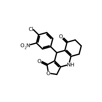 O=C1CCCC2=C1C(c1ccc(Cl)c([N+](=O)[O-])c1)C1=C(COC1=O)N2